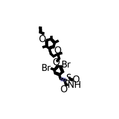 C=CCOc1c(C)c(C)c2c(c1C)CCC(C)(COc1c(Br)cc(/C=C3\SC(=O)NC3=O)cc1Br)O2